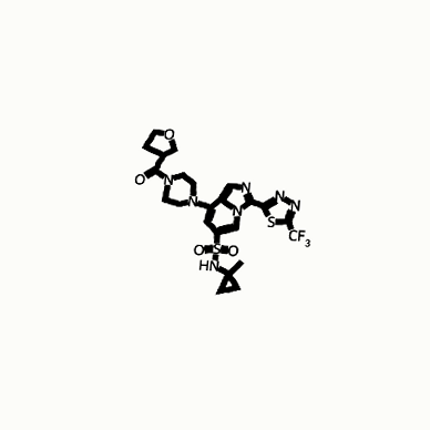 CC1(NS(=O)(=O)c2cc(N3CCN(C(=O)C4CCOC4)CC3)c3cnc(-c4nnc(C(F)(F)F)s4)n3c2)CC1